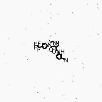 C[C@H]1Cn2ncc(C(=O)Nc3cccc(C#N)c3)c2C(=O)N1c1ccc(C(F)C(F)(F)F)cc1